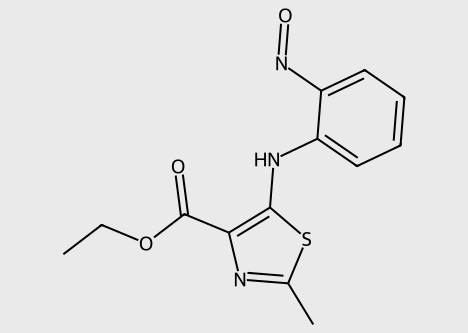 CCOC(=O)c1nc(C)sc1Nc1ccccc1N=O